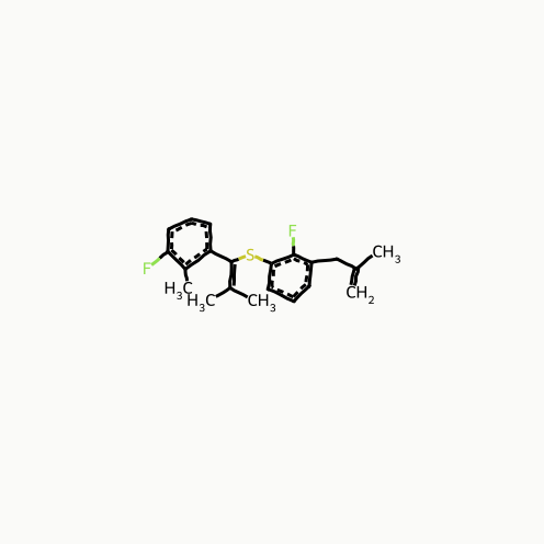 C=C(C)Cc1cccc(SC(=C(C)C)c2cccc(F)c2C)c1F